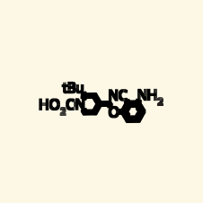 CC(C)(C)C1CC(COc2cccc(N)c2C#N)CCN1C(=O)O